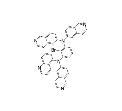 Brc1c(N(c2ccc3cnccc3c2)c2ccc3cnccc3c2)cccc1N(c1ccc2cnccc2c1)c1cccc2ncccc12